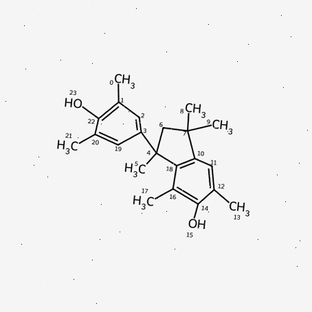 Cc1cc(C2(C)CC(C)(C)c3cc(C)c(O)c(C)c32)cc(C)c1O